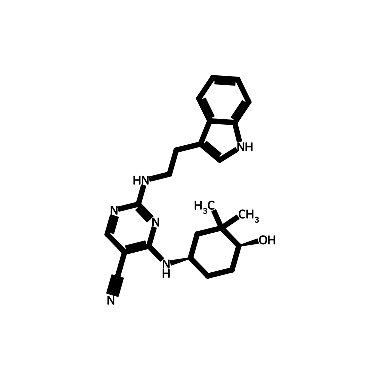 CC1(C)C[C@H](Nc2nc(NCCc3c[nH]c4ccccc34)ncc2C#N)CC[C@@H]1O